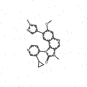 COc1cc2ncc3c(c2cc1-c1cnn(C)c1)n(-c1ccncc1C1CC1)c(=O)n3C